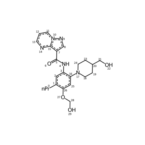 CCCc1cc(NC(=O)c2cnn3cccnc23)c(N2CCC(CO)CC2)cc1OCO